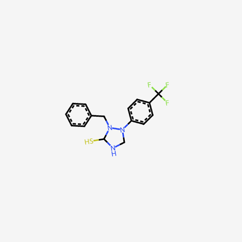 FC(F)(F)c1ccc(N2CNC(S)N2Cc2ccccc2)cc1